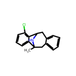 CC12Cc3ccccc3CC(N1)c1c(Cl)cccc12